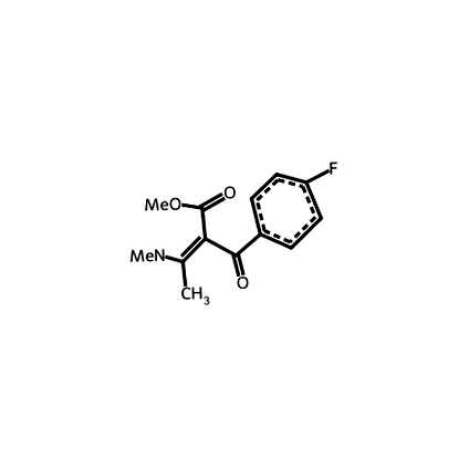 CNC(C)=C(C(=O)OC)C(=O)c1ccc(F)cc1